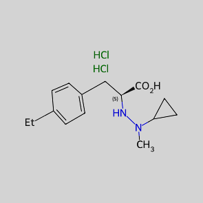 CCc1ccc(C[C@H](NN(C)C2CC2)C(=O)O)cc1.Cl.Cl